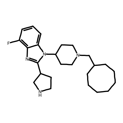 Fc1cccc2c1nc(C1CCNC1)n2C1CCN(CC2CCCCCCC2)CC1